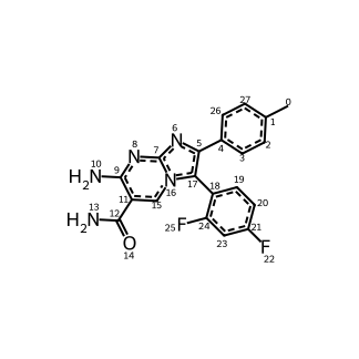 Cc1ccc(-c2nc3nc(N)c(C(N)=O)cn3c2-c2ccc(F)cc2F)cc1